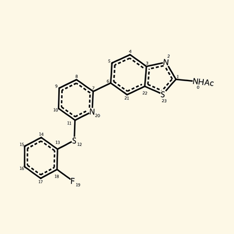 CC(=O)Nc1nc2ccc(-c3cccc(Sc4ccccc4F)n3)cc2s1